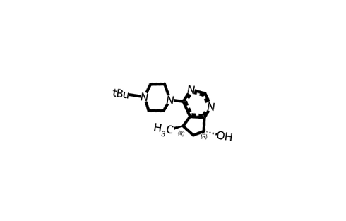 C[C@@H]1C[C@@H](O)c2ncnc(N3CCN(C(C)(C)C)CC3)c21